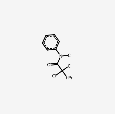 CCCC(Cl)(Cl)C(=O)N(Cl)c1ccccc1